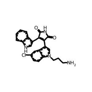 NCCCn1cc(C2=C(c3c[nH]c4ccccc34)C(=O)NC2=O)c2cc(Cl)ccc21